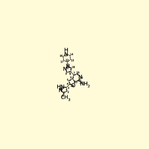 Cc1cc(-c2cc3c(-c4cnn(C5CCNCC5)c4)cnc(N)c3o2)[nH]n1